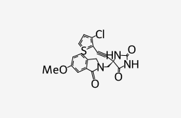 COc1ccc2c(c1)C(=O)N(C[C@@]1(C#Cc3sccc3Cl)NC(=O)NC1=O)C2